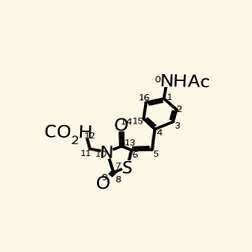 CC(=O)Nc1ccc(C=C2SC(=O)N(CC(=O)O)C2=O)cc1